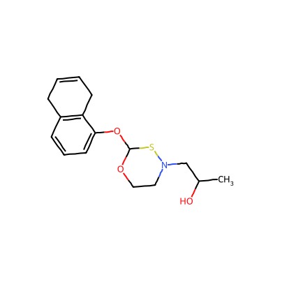 CC(O)CN1CCOC(Oc2cccc3c2CC=CC3)S1